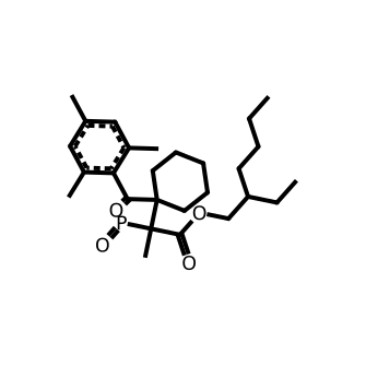 CCCCC(CC)COC(=O)C(C)(P=O)C1(C(=O)c2c(C)cc(C)cc2C)CCCCC1